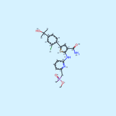 COP(C)(=O)Cc1cccc(Nc2sc(-c3ccc(C(C)(C)O)cc3F)cc2C(N)=O)n1